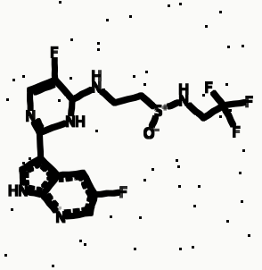 [O-][S+](CCNC1NC(c2c[nH]c3ncc(F)cc23)=NC=C1F)NCC(F)(F)F